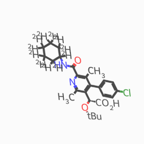 [2H]C1([2H])C([2H])([2H])C([2H])([2H])C([2H])(NC(=O)c2nc(C)c([C@H](OC(C)(C)C)C(=O)O)c(-c3ccc(Cl)cc3)c2C)C([2H])([2H])C1([2H])[2H]